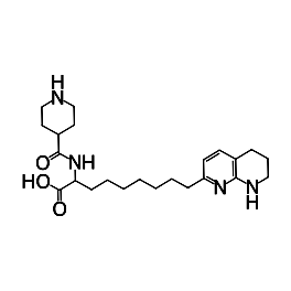 O=C(NC(CCCCCCCc1ccc2c(n1)NCCC2)C(=O)O)C1CCNCC1